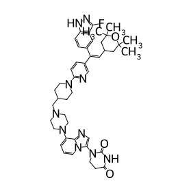 CC1(C)CC(C=C(c2ccc(N3CCC(CN4CCN(c5cccn6c(N7CCC(=O)NC7=O)cnc56)CC4)CC3)nc2)c2ccc3[nH]nc(F)c3c2)CC(C)(C)O1